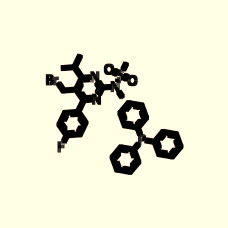 CC(C)c1nc(N(C)S(C)(=O)=O)nc(-c2ccc(F)cc2)c1CBr.c1ccc(P(c2ccccc2)c2ccccc2)cc1